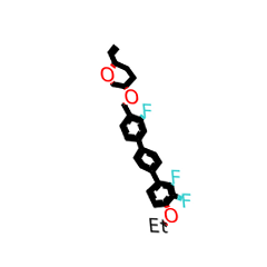 C=CC1CCC(OCc2ccc(-c3ccc(-c4ccc(OCC)c(F)c4F)cc3)cc2F)CO1